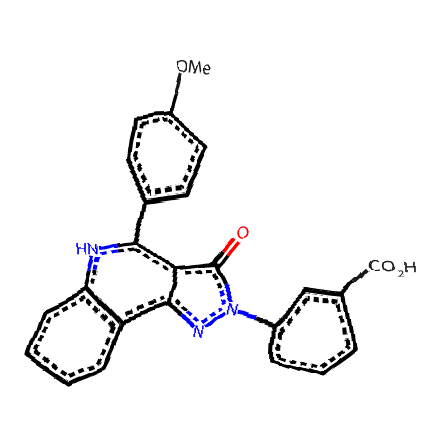 COc1ccc(-c2[nH]c3ccccc3c3nn(-c4cccc(C(=O)O)c4)c(=O)c2-3)cc1